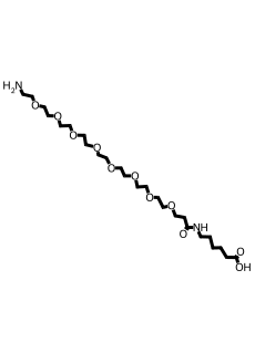 NCCOCCOCCOCCOCCOCCOCCOCCOCCC(=O)NCCCCCC(=O)O